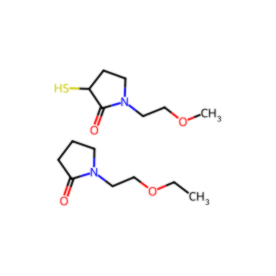 CCOCCN1CCCC1=O.COCCN1CCC(S)C1=O